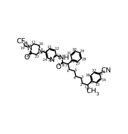 CC(CCCCCC(C(=O)Nc1ccc(N2CCN(CC(F)(F)F)C(=O)C2)cn1)c1ccccc1)c1ccc(C#N)cc1